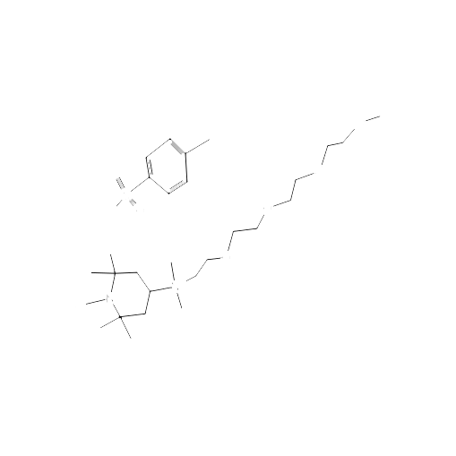 COCCOCCOCCOCC[N+](C)(C)C1CC(C)(C)N(Cl)C(C)(C)C1.Cc1ccc(S(=O)(=O)[O-])cc1